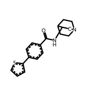 O=C(NC1CN2CCC1CC2)c1ccc(-c2cccs2)cc1